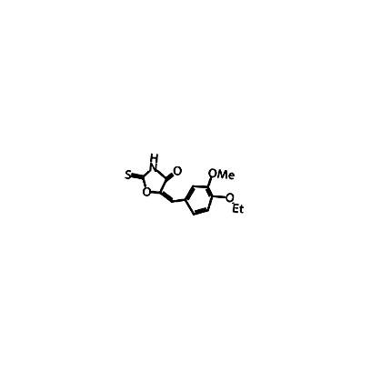 CCOc1ccc(C=C2OC(=S)NC2=O)cc1OC